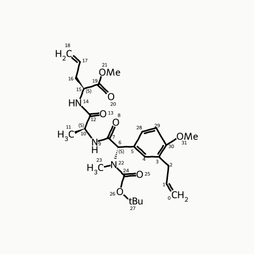 C=CCc1cc([C@@H](C(=O)N[C@@H](C)C(=O)N[C@@H](CC=C)C(=O)OC)N(C)C(=O)OC(C)(C)C)ccc1OC